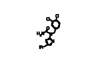 CC(C)c1cnc(N(Cc2ccc(Cl)c(Cl)c2)C(N)=O)s1